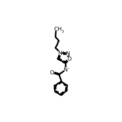 CCCC[n+]1cc([N-]C(=O)c2ccccc2)on1